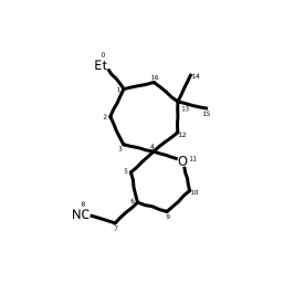 CCC1CCC2(CC(CC#N)CCO2)CC(C)(C)C1